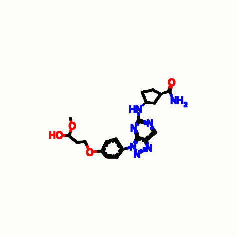 COC(O)CCOc1ccc(-n2nnc3cnc(N[C@@H]4CC[C@@H](C(N)=O)C4)nc32)cc1